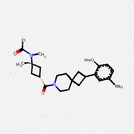 CCC(=O)N(C)[C@]1(C)C[C@H](C(=O)N2CCC3(CC2)CC(c2cc(C(C)(C)C)ccc2OC)C3)C1